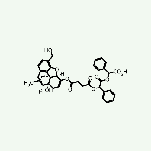 CN1CC[C@]23c4c5ccc(CO)c4O[C@H]2C(OC(=O)CCC(=O)O[C@H](C(=O)O[C@H](C(=O)O)c2ccccc2)c2ccccc2)=CC[C@@]3(O)[C@H]1C5